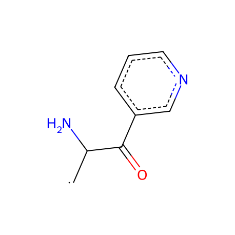 [CH2]C(N)C(=O)c1cccnc1